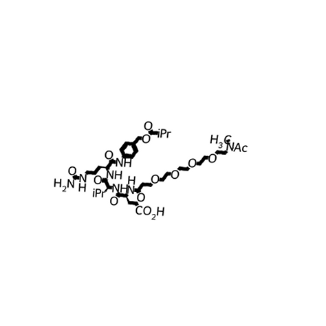 CC(=O)N(C)CCOCCOCCOCCOCCC(=O)N[C@@H](CCC(=O)O)C(=O)N[C@H](C(=O)N[C@@H](CCCNC(N)=O)C(=O)Nc1ccc(COC(=O)C(C)C)cc1)C(C)C